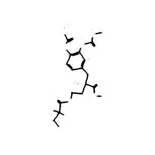 CCC(C)(C)C(=O)OCC[C@@](N)(Cc1ccc(OC(=O)OC)c(OC(=O)OC)c1)C(=O)OC